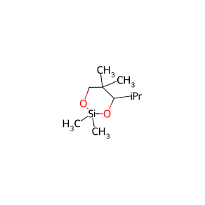 CC(C)C1O[Si](C)(C)OCC1(C)C